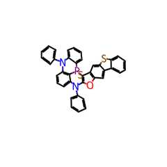 S=P12c3ccccc3N(c3ccccc3)c3cccc(c31)N(c1ccccc1)c1oc3cc4c(cc3c12)sc1ccccc14